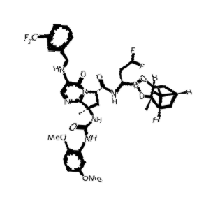 COc1ccc(OC)c(NC(=O)N[C@]2(C)C[C@@H](C(=O)N[C@@H](CC(F)F)B3O[C@@H]4C[C@@H]5C[C@@H](C5(C)C)[C@]4(C)O3)n3c2ncc(NCc2cccc(C(F)(F)F)c2)c3=O)c1